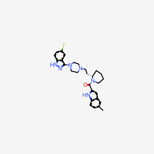 Cc1ccc2[nH]c(C(=O)N3CCCC[C@H]3CCN3CCN(c4n[nH]c5ccc(F)cc45)CC3)cc2c1